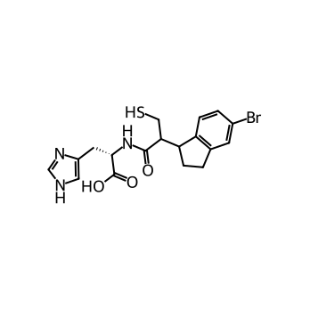 O=C(N[C@@H](Cc1c[nH]cn1)C(=O)O)C(CS)C1CCc2cc(Br)ccc21